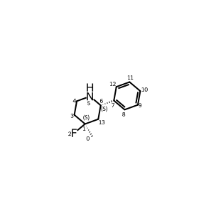 C[C@]1(F)CCN[C@H](c2ccccc2)C1